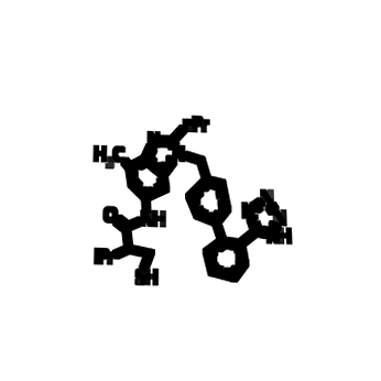 CCCc1nc2c(C)cc(NC(=O)C(CS)C(C)C)cc2n1Cc1ccc(-c2ccccc2-c2nnn[nH]2)cc1